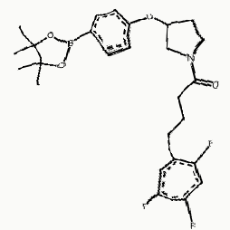 CC1(C)OB(c2ccc(OC3CCN(C(=O)CCCc4cc(F)c(F)cc4F)C3)cc2)OC1(C)C